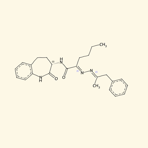 CCCC/C(=N\N=C(/C)Cc1ccccc1)C(=O)N[C@H]1CCc2ccccc2NC1=O